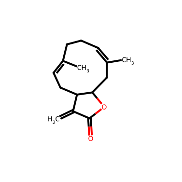 C=C1C(=O)OC2CC(C)=CCC/C(C)=C/CC12